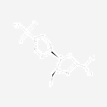 CS(=O)(=O)c1ccc([C@H]2OC(C(Cl)Cl)=N[C@H]2CF)cc1